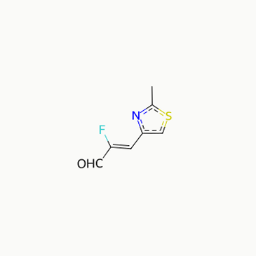 Cc1nc(C=C(F)C=O)cs1